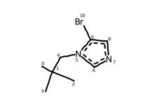 CC(C)(C)Cn1cncc1Br